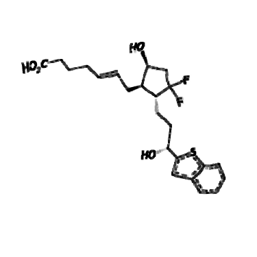 O=C(O)CCCC=CC[C@@H]1[C@@H](CC[C@@H](O)c2cc3ccccc3s2)C(F)(F)C[C@@H]1O